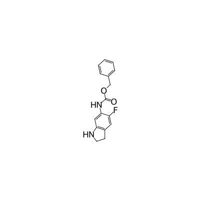 O=C(Nc1cc2c(cc1F)CCN2)OCc1ccccc1